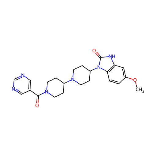 COc1ccc2c(c1)[nH]c(=O)n2C1CCN(C2CCN(C(=O)c3cncnc3)CC2)CC1